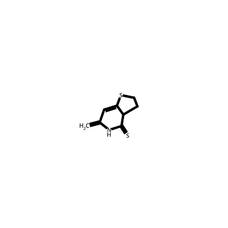 C=C1C=C2SCCC2C(=S)N1